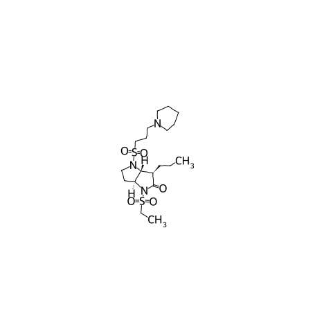 CCC[C@H]1C(=O)N(S(=O)(=O)CC)[C@H]2CCN(S(=O)(=O)CCCN3CCCCC3)[C@H]12